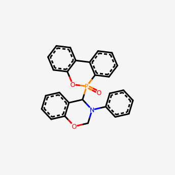 O=P1(C2c3ccccc3OCN2c2ccccc2)Oc2ccccc2-c2ccccc21